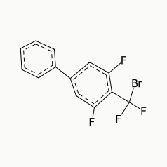 Fc1cc(-c2ccccc2)cc(F)c1C(F)(F)Br